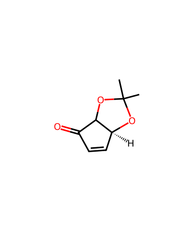 CC1(C)OC2C(=O)C=C[C@@H]2O1